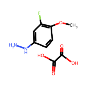 COc1ccc(NN)cc1F.O=C(O)C(=O)O